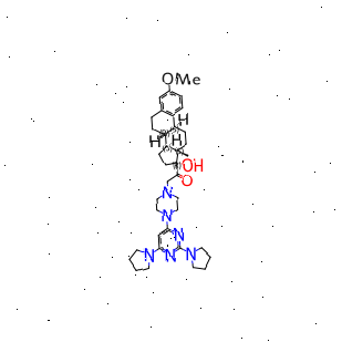 COc1ccc2c(c1)CC[C@@H]1[C@@H]2CC[C@@]2(C)[C@H]1CC[C@]2(O)C(=O)CN1CCN(c2cc(N3CCCC3)nc(N3CCCC3)n2)CC1